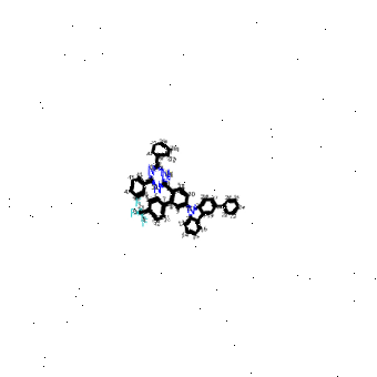 FC(F)(F)c1ccc(-c2cc(-n3c4ccccc4c4cc(-c5ccccc5)ccc43)ccc2-c2nc(-c3ccccc3)nc(-c3ccccc3)n2)cc1